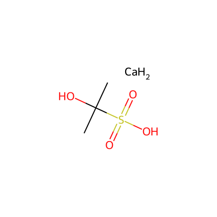 CC(C)(O)S(=O)(=O)O.[CaH2]